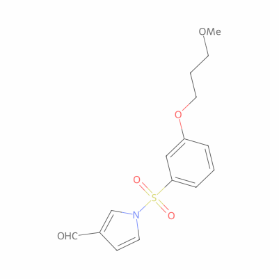 COCCCOc1cccc(S(=O)(=O)n2ccc(C=O)c2)c1